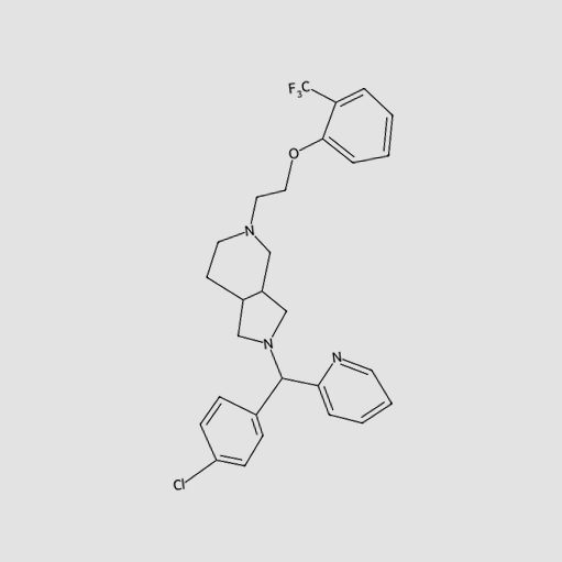 FC(F)(F)c1ccccc1OCCN1CCC2CN(C(c3ccc(Cl)cc3)c3ccccn3)CC2C1